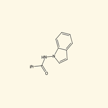 CC(C)C(=O)Nn1ccc2ccccc21